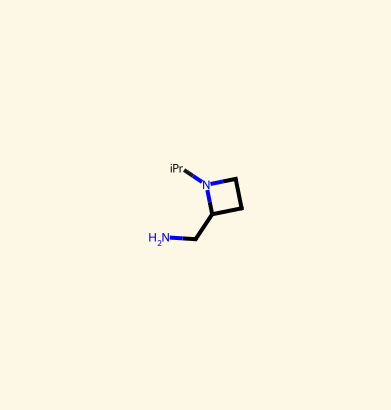 CC(C)N1CCC1CN